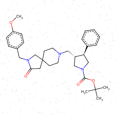 COc1ccc(CN2CC3(CCN(C[C@H]4CN(C(=O)OC(C)(C)C)C[C@@H]4c4ccccc4)CC3)CC2=O)cc1